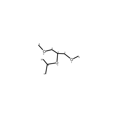 COCC(COC)OC(C)C